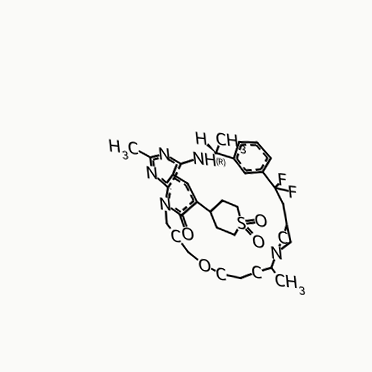 Cc1nc2c3cc(C4CCS(=O)(=O)CC4)c(=O)n(c3n1)CCCOCCCC(C)N1CC(C1)CC(F)(F)c1cccc(c1)[C@@H](C)N2